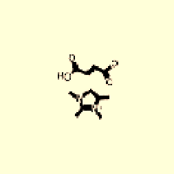 CC1=[N+](C)C(C)CN1C.O=C([O-])C=CC(=O)O